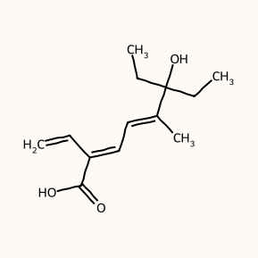 C=C/C(=C\C=C(/C)C(O)(CC)CC)C(=O)O